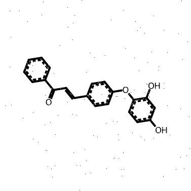 O=C(/C=C/c1ccc(Oc2ccc(O)cc2O)cc1)c1ccccc1